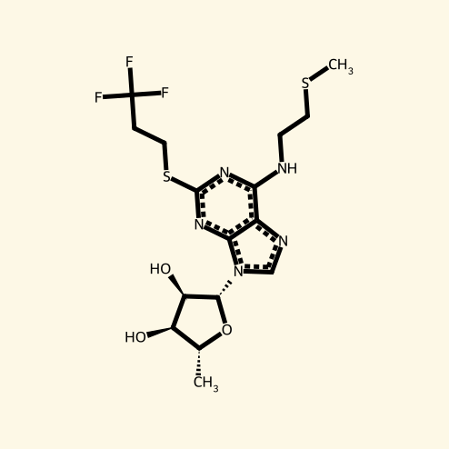 CSCCNc1nc(SCCC(F)(F)F)nc2c1ncn2[C@@H]1O[C@H](C)[C@@H](O)[C@H]1O